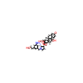 C[C@]12C=CC(=O)C=C1CC[C@@H]1[C@@H]2[C@@H](O)C[C@@]2(C)[C@H]1C[C@H]1O[C@@H](c3ccn(Cc4cc(N)cc(CCO)c4)c3)O[C@]12C(=O)CO